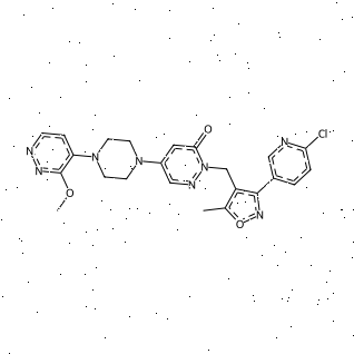 COc1nnccc1N1CCN(c2cnn(Cc3c(-c4ccc(Cl)nc4)noc3C)c(=O)c2)CC1